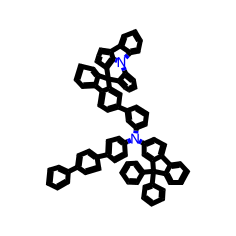 c1ccc(-c2ccc(-c3ccc(N(c4cccc(-c5ccc6c(c5)C5(c7ccccc7-6)c6ccccc6-n6c7ccccc7c7cccc5c76)c4)c4ccc5c(c4)C(c4ccccc4)(c4ccccc4)c4ccccc4-5)cc3)cc2)cc1